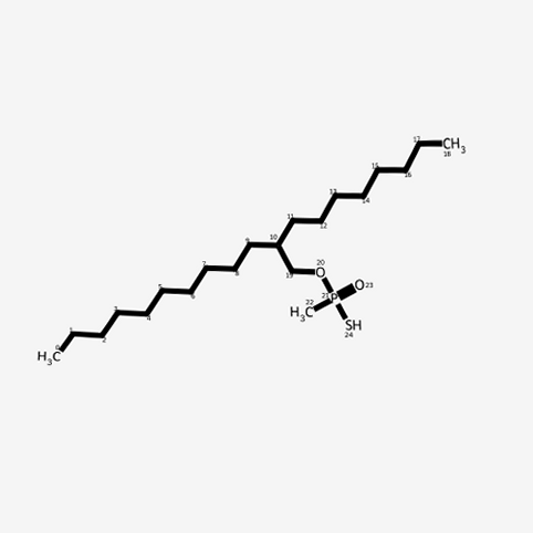 CCCCCCCCCCC(CCCCCCCC)COP(C)(=O)S